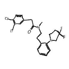 CN(CCc1ccccc1N1CCC(F)(F)C1)C(=O)Cc1ccc(Cl)c(Cl)c1